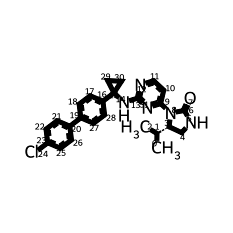 CC(C)[C@H]1CNC(=O)N1c1ccnc(NC2(c3ccc(-c4ccc(Cl)cc4)cc3)CC2)n1